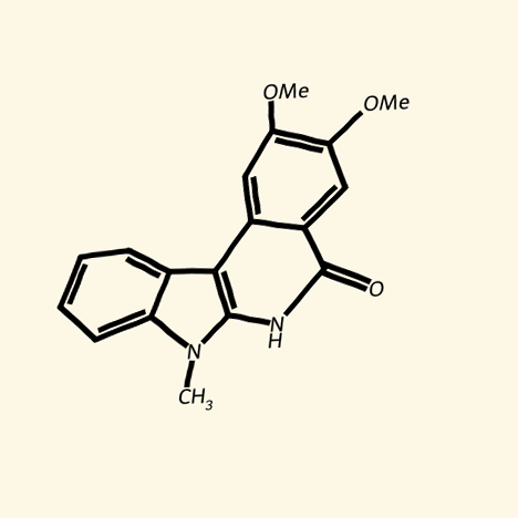 COc1cc2c(=O)[nH]c3c(c2cc1OC)c1ccccc1n3C